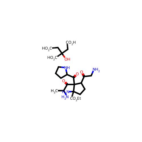 CCOC(=O)C1(N)CCC(C(=O)CN)C1(C(=O)C(C)N)C(=O)C1CCCN1.O=C(O)CC(O)(CC(=O)O)C(=O)O